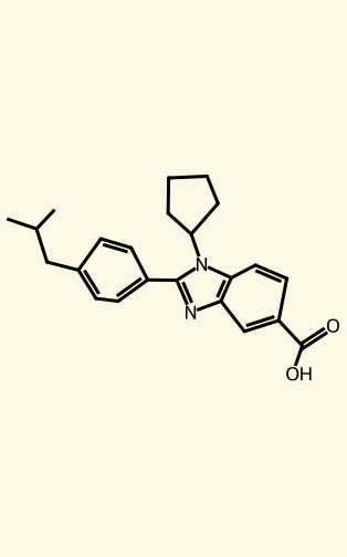 CC(C)Cc1ccc(-c2nc3cc(C(=O)O)ccc3n2C2CCCC2)cc1